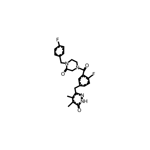 Cc1c(Cc2ccc(F)c(C(=O)N3CCN(Cc4ccc(F)cc4)C(=O)C3)c2)n[nH]c(=O)c1C